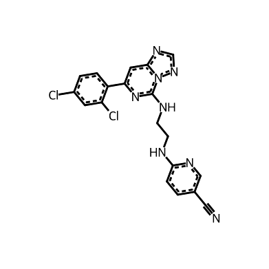 N#Cc1ccc(NCCNc2nc(-c3ccc(Cl)cc3Cl)cc3ncnn23)nc1